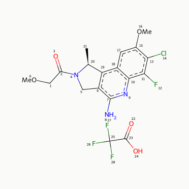 COCC(=O)N1Cc2c(N)nc3c(F)c(Cl)c(OC)cc3c2[C@@H]1C.O=C(O)C(F)(F)F